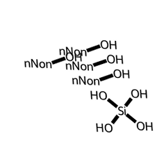 CCCCCCCCCO.CCCCCCCCCO.CCCCCCCCCO.CCCCCCCCCO.O[Si](O)(O)O